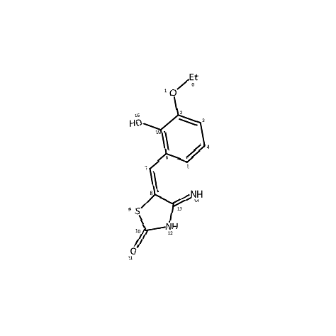 CCOc1cccc(/C=C2/SC(=O)NC2=N)c1O